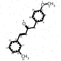 COc1ccc(CC(=O)/C=C/c2cccc(C)c2)cc1